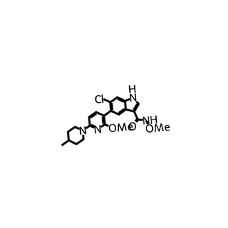 CONC(=O)c1c[nH]c2cc(Cl)c(-c3ccc(N4CCC(C)CC4)nc3OC)cc12